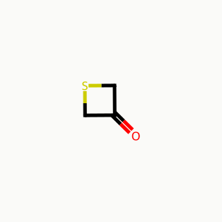 O=C1CSC1